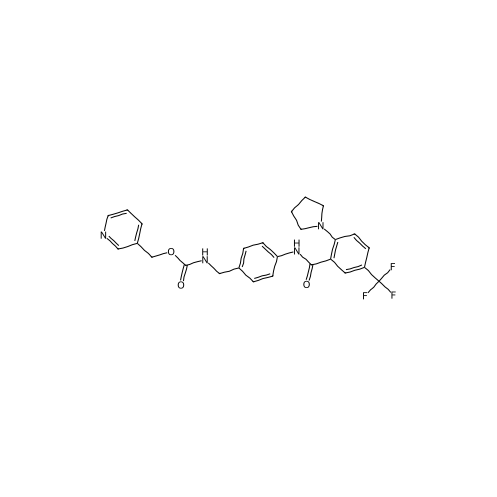 O=C(NCc1ccc(NC(=O)c2cc(C(F)(F)F)ccc2N2CCCC2)cc1)OCc1cccnc1